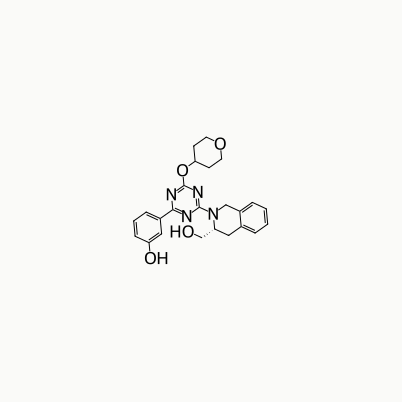 OC[C@H]1Cc2ccccc2CN1c1nc(OC2CCOCC2)nc(-c2cccc(O)c2)n1